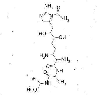 CC(NC(=O)C(N)C(N)CCC(O)C(O)CC1CN=C(N)N1C(N)=O)C(=O)NC(C(=O)O)C(C)C